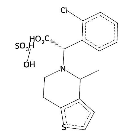 CC1c2ccsc2CCN1[C@H](C(=O)O)c1ccccc1Cl.O=S(=O)(O)O